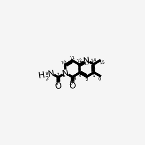 Cc1cc2c(=O)n(C(N)=O)ccc2nc1C